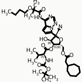 CCCCOC(C)(C)C(=O)Nc1ncnn2c([C@]3(C#N)O[C@H](COC(=O)CC4CCCCCC4)[C@@H](OC(=O)[C@@H](NC(=O)OC(C)(C)C)C(C)C)[C@H]3O)ccc12